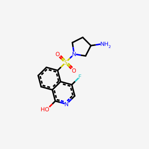 NC1CCN(S(=O)(=O)c2cccc3c(O)ncc(F)c23)C1